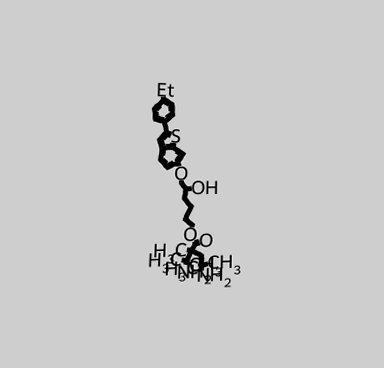 CCc1ccc(-c2cc3ccc(OCC(O)CCCCOC(=O)C(C)(CC(C)(C)N)C(C)(C)N)cc3s2)cc1